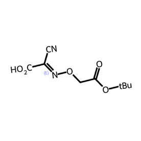 CC(C)(C)OC(=O)CO/N=C(\C#N)C(=O)O